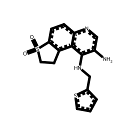 Nc1cnc2ccc3c(c2c1NCc1cccs1)CCS3(=O)=O